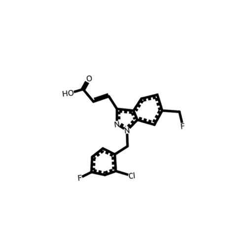 O=C(O)/C=C/c1nn(Cc2ccc(F)cc2Cl)c2cc(CF)ccc12